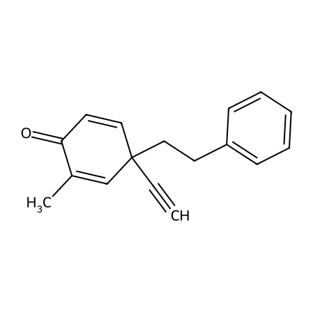 C#CC1(CCc2ccccc2)C=CC(=O)C(C)=C1